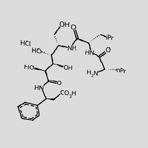 CCC[C@H](N)C(=O)N[C@@H](CC(C)C)C(=O)N[C@@H](CO)[C@@H](O)[C@@H](O)[C@H](O)C(=O)N[C@@H](CC(=O)O)c1ccccc1.Cl